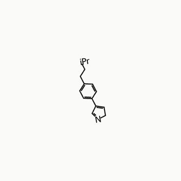 CC(C)CCc1ccc(C2=CCN=C2)cc1